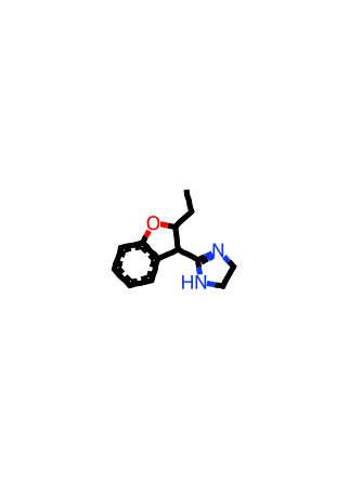 CCC1Oc2ccccc2C1C1=NCCN1